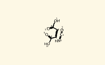 N=C=O.O=C(O)/C=C\C(=O)O